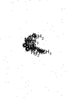 C=C1CC[C@@H](CNCc2ncc(-c3cccc(-c4cccc(-c5cnc(CNC/C(N)=C/N(N)CC)c(OC)n5)c4C)c3Cl)nc2OC)N1